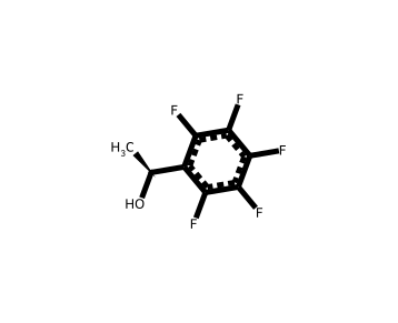 C[C@H](O)c1c(F)c(F)c(F)c(F)c1F